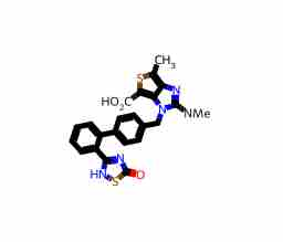 CNc1nc2c(C)sc(C(=O)O)c2n1Cc1ccc(-c2ccccc2-c2nc(=O)s[nH]2)cc1